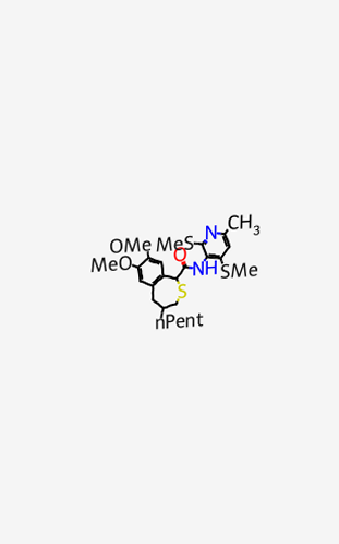 CCCCCC1CSC(C(=O)Nc2c(SC)cc(C)nc2SC)c2cc(OC)c(OC)cc2C1